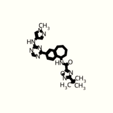 Cn1cc(Nc2ncnc(-c3ccc4c(c3)CCCCC4NC(=O)c3nc(C(C)(C)C)no3)n2)cn1